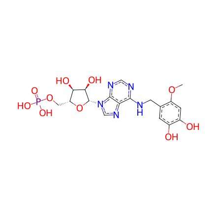 COc1cc(O)c(O)cc1CNc1ncnc2c1ncn2[C@@H]1O[C@H](COP(=O)(O)O)[C@@H](O)[C@H]1O